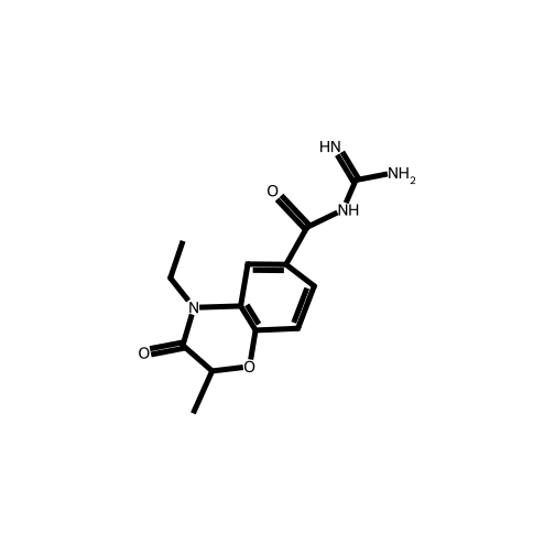 CCN1C(=O)C(C)Oc2ccc(C(=O)NC(=N)N)cc21